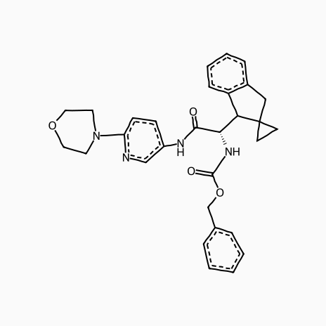 O=C(N[C@H](C(=O)Nc1ccc(N2CCOCC2)nc1)C1c2ccccc2CC12CC2)OCc1ccccc1